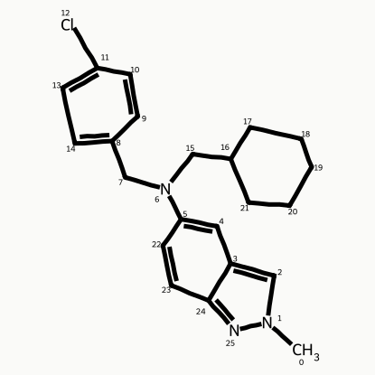 Cn1cc2cc(N(Cc3ccc(Cl)cc3)CC3CCCCC3)ccc2n1